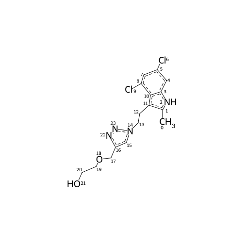 Cc1[nH]c2cc(Cl)cc(Cl)c2c1CCn1cc(COCCO)nn1